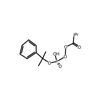 CC(C)C(=O)OOP(=O)(O)OC(C)(C)c1ccccc1